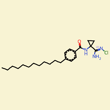 CCCCCCCCCCCCc1ccc(C(=O)NC2(/C(N)=N/Cl)CC2)cc1